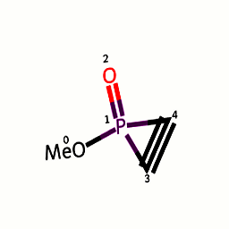 COP1(=O)C#C1